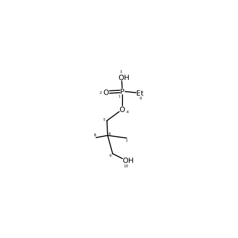 CCP(=O)(O)OCC(C)(C)CO